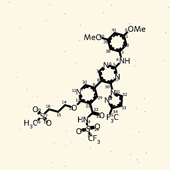 COc1cc(Nc2ncc(-c3cnc(OCCCS(C)(=O)=O)c(C(=O)NS(=O)(=O)C(F)(F)F)c3)c(-n3ccc(C(F)(F)F)n3)n2)cc(OC)c1